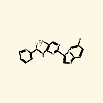 C[C@@H](Nc1nc(-c2cnc3ccc(F)cn23)ncc1[N+](=O)[O-])c1ccccn1